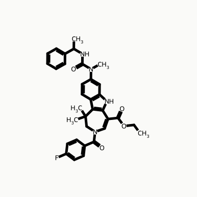 CCOC(=O)C1=CN(C(=O)c2ccc(F)cc2)CC(C)(C)c2c1[nH]c1cc(N(C)C(=O)NC(C)c3ccccc3)ccc21